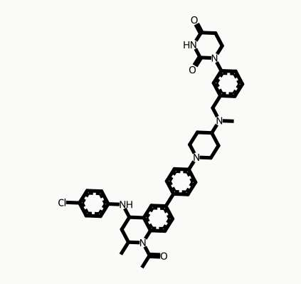 CC(=O)N1c2ccc(-c3ccc(N4CCC(N(C)Cc5cccc(N6CCC(=O)NC6=O)c5)CC4)cc3)cc2C(Nc2ccc(Cl)cc2)CC1C